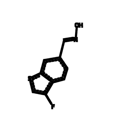 O/N=C/c1ccc2c(F)csc2c1